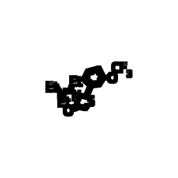 CCC(N(CC)CC)N1C(=O)CSC1c1cccc(OC(F)(F)F)c1